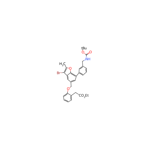 CCOC(=O)Cc1ccccc1OCc1cc(-c2cccc(CNC(=O)OC(C)(C)C)c2)c2oc(C)c(Br)c2c1